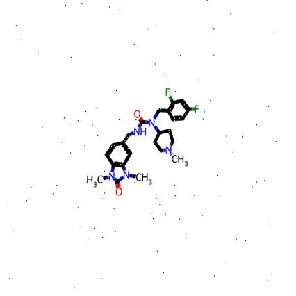 CN1CCC(N(Cc2ccc(F)cc2F)C(=O)NCc2ccc3c(c2)n(C)c(=O)n3C)CC1